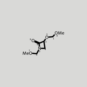 COCOC1CN(COC)C1=O